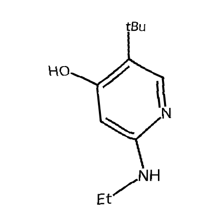 CCNc1cc(O)c(C(C)(C)C)cn1